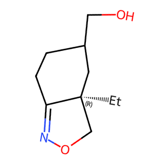 CC[C@]12CON=C1CCC(CO)C2